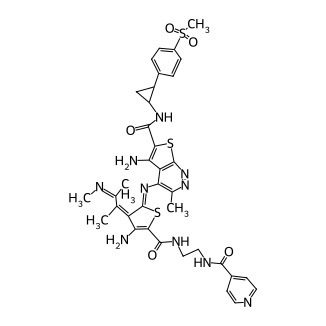 C\N=C(C)/C(C)=C1/C(N)=C(C(=O)NCCNC(=O)c2ccncc2)S/C1=N\c1c(C)nnc2sc(C(=O)NC3CC3c3ccc(S(C)(=O)=O)cc3)c(N)c12